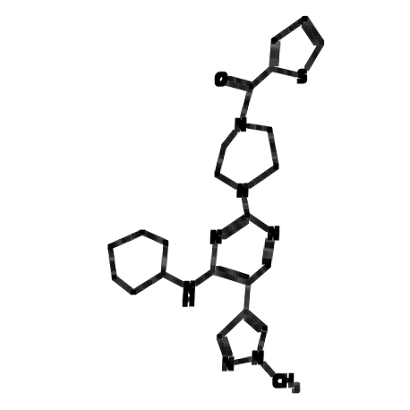 Cn1cc(-c2cnc(N3CCN(C(=O)c4cccs4)CC3)nc2NC2CCCCC2)cn1